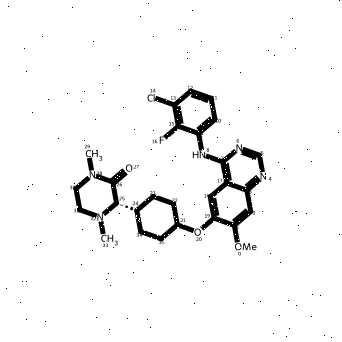 COc1cc2ncnc(Nc3cccc(Cl)c3F)c2cc1OC1CCC([C@H]2C(=O)N(C)CCN2C)CC1